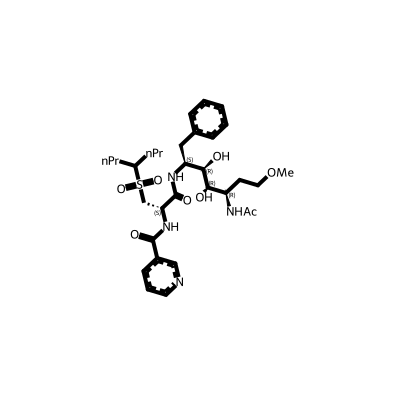 CCCC(CCC)S(=O)(=O)C[C@@H](NC(=O)c1cccnc1)C(=O)N[C@@H](Cc1ccccc1)[C@@H](O)[C@H](O)[C@@H](CCOC)NC(C)=O